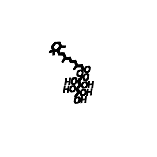 CC1=C(/C=C/C(C)=C/C=C/C(C)=C/C(=O)OC(=O)[C@H](O)[C@@H](O)[C@H](O)[C@H](O)CO)C(C)(C)CCC1